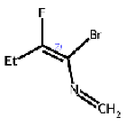 C=N/C(Br)=C(/F)CC